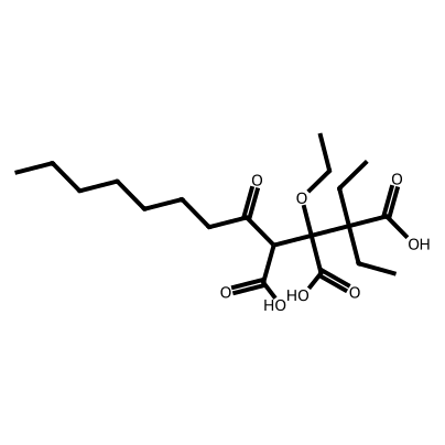 CCCCCCCC(=O)C(C(=O)O)C(OCC)(C(=O)O)C(CC)(CC)C(=O)O